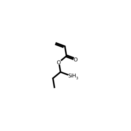 C=CC(=O)OC([SiH3])CC